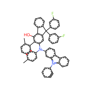 Cc1ccc(N(c2ccc3c4ccccc4n(-c4c#cccc4)c3c2)c2cc3c(c(O)c2-c2ccccc2C)-c2ccccc2C3(c2cccc(F)c2)c2cccc(F)c2)cc1